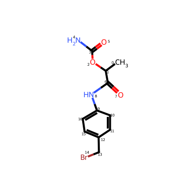 CC(OC(N)=O)C(=O)Nc1ccc(CBr)cc1